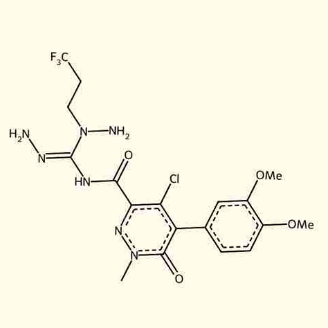 COc1ccc(-c2c(Cl)c(C(=O)N/C(=N/N)N(N)CCC(F)(F)F)nn(C)c2=O)cc1OC